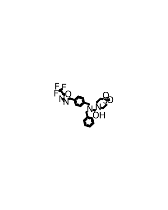 O=S1(=O)CCN(C(O)N(Cc2ccccc2)Cc2ccc(-c3nnc(C(F)(F)F)o3)cc2)CC1